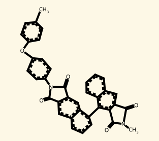 Cc1ccc(Oc2ccc(N3C(=O)c4cc5cccc(-c6c7c(cc8ccccc68)C(=O)N(C)C7=O)c5cc4C3=O)cc2)cc1